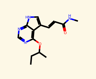 CCC(C)Oc1ncnc2[nH]cc(/C=C/C(=O)NC)c12